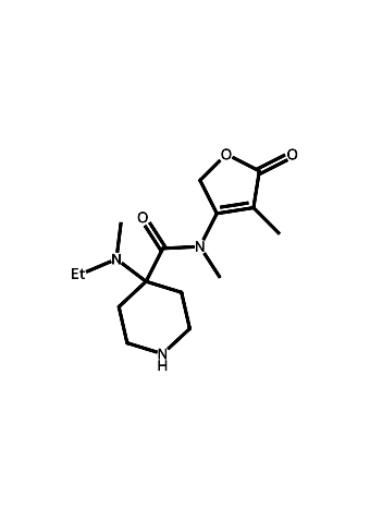 CCN(C)C1(C(=O)N(C)C2=C(C)C(=O)OC2)CCNCC1